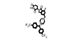 O=C1CCC(N2Cc3cc(CN4CCN(C(c5ccc(C(F)(F)F)cc5)c5ccc(C(F)(F)F)cc5)CC4)cc(F)c3C2=O)C(=O)N1